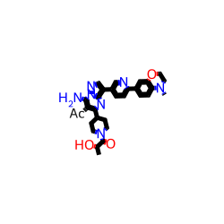 CC(=O)c1c(C2CCN(C(=O)C(C)O)CC2)nc2c(-c3ccc(-c4ccc5c(c4)OCCN5C)nc3)cnn2c1N